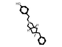 Oc1ccc(CCN2C[C@@H]3C[C@@](F)(Cc4ccccc4)C[C@@H]3C2)cc1